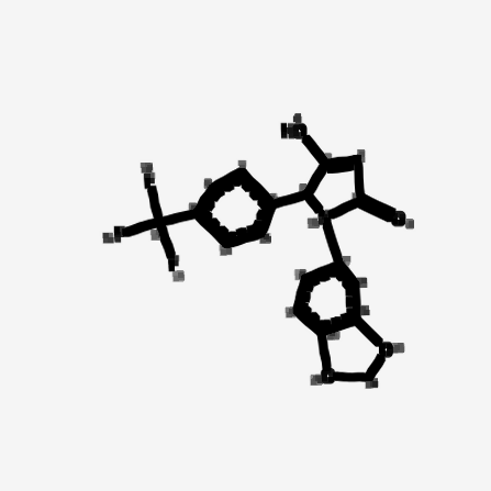 O=C1[C]=C(O)C(c2ccc(C(F)(F)F)cc2)N1c1ccc2c(c1)OCO2